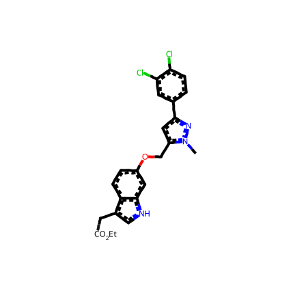 CCOC(=O)Cc1c[nH]c2cc(OCc3cc(-c4ccc(Cl)c(Cl)c4)nn3C)ccc12